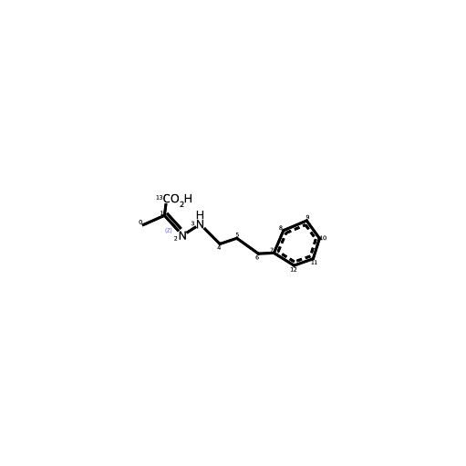 C/C(=N/NCCCc1ccccc1)C(=O)O